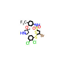 C[C@@]1(Oc2cc(NS(=O)(=O)c3cc(Br)c(Sc4cccc(Cl)c4Cl)s3)ccc2C(F)(F)F)CCNC1